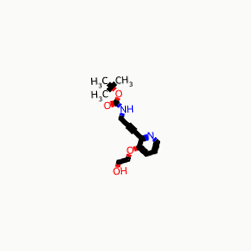 CC(C)(C)OC(=O)NCC#Cc1ncccc1OCCO